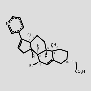 CC[C@@H]1C=C2C[C@@H](CC(=O)O)CC[C@]2(C)[C@H]2CC[C@]3(C)C(c4cccnc4)=CC[C@H]3[C@H]12